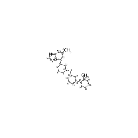 Cc1cc(C2CCCN(Cc3cccc(-c4ccccc4C)c3)C2)n2ncnc2n1